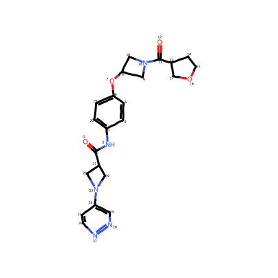 O=C(Nc1ccc(OC2CN(C(=O)C3CCOC3)C2)cc1)C1CN(c2ccnnc2)C1